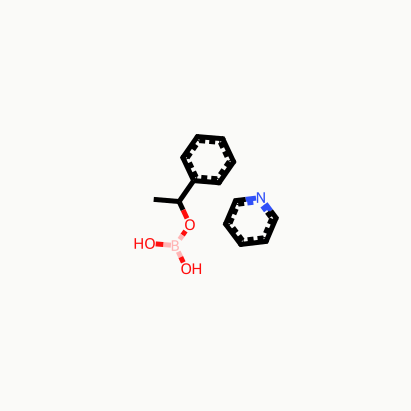 CC(OB(O)O)c1ccccc1.c1ccncc1